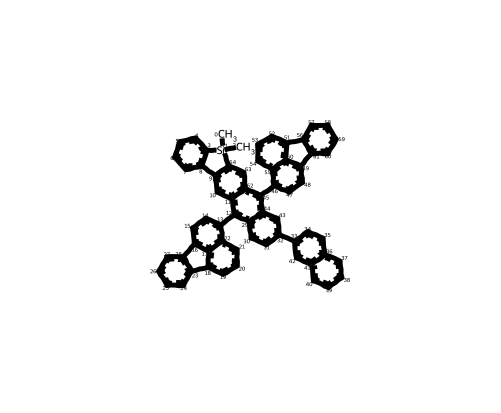 C[Si]1(C)c2ccccc2-c2cc3c(-c4ccc5c6c(cccc46)-c4ccccc4-5)c4ccc(-c5ccc6ccccc6c5)cc4c(-c4ccc5c6c(cccc46)-c4ccccc4-5)c3cc21